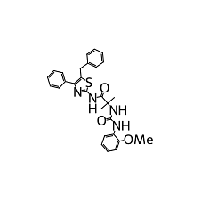 COc1ccccc1NC(=O)NC(C)(C)C(=O)Nc1nc(-c2ccccc2)c(Cc2ccccc2)s1